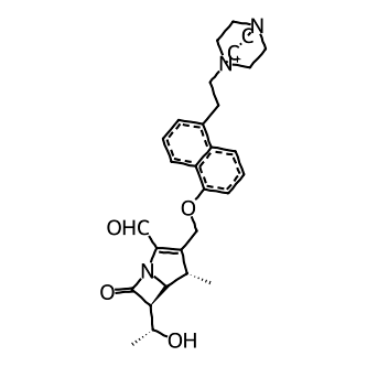 C[C@H]1C(COc2cccc3c(CC[N+]45CCN(CC4)CC5)cccc23)=C(C=O)N2C(=O)[C@H]([C@@H](C)O)C12